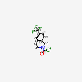 O=C(Cl)N1CCc2cc(C(F)(F)F)ccc2C1